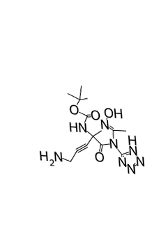 C/C(=N\O)N(C(=O)C(C)(C#CCN)NC(=O)OC(C)(C)C)c1nnn[nH]1